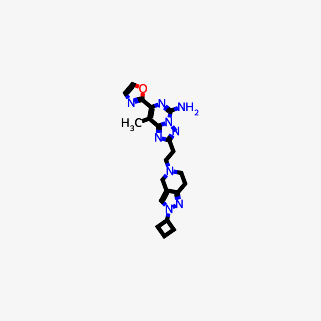 Cc1c(-c2ncco2)nc(N)n2nc(CCN3CCc4nn(C5CCC5)cc4C3)nc12